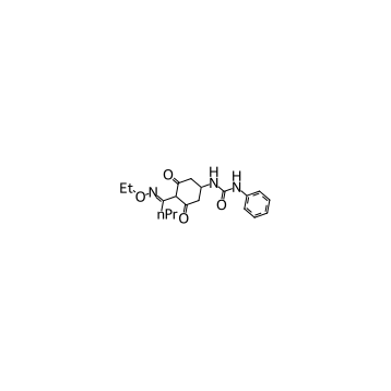 CCC/C(=N\OCC)C1C(=O)CC(NC(=O)Nc2ccccc2)CC1=O